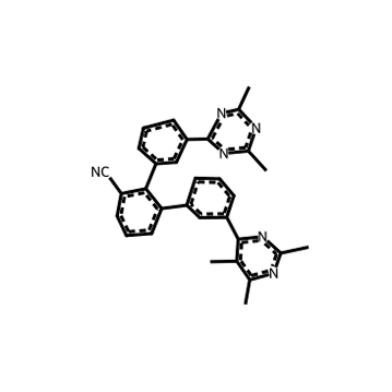 Cc1nc(C)nc(-c2cccc(-c3c(C#N)cccc3-c3cccc(-c4nc(C)nc(C)c4C)c3)c2)n1